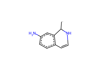 [CH2]C1NC=Cc2ccc(N)cc21